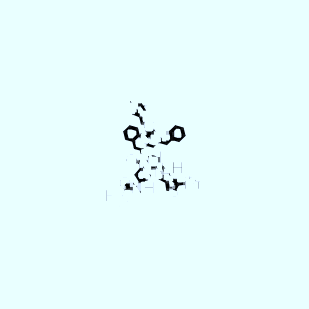 CC(C)c1nc(CN(C)C(=O)N2C[C@@H](NC(=O)C(F)(F)F)C[C@H]2C(=O)N[C@H](CC[C@H](Cc2ccccc2)NC(=O)OCc2cncs2)Cc2ccccc2)cs1